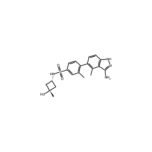 Cc1cc(S(=O)(=O)N[C@H]2C[C@@](C)(O)C2)ccc1-c1ccc2[nH]nc(N)c2c1C